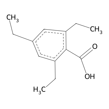 CCc1cc(CC)c(C(=O)O)c(CC)c1